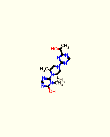 CC(O)c1ncnc(N2C[C@@H](C)N(C3=NC=NC(O)N3C)[C@@H](C)C2)n1